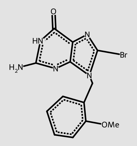 COc1ccccc1Cn1c(Br)nc2c(=O)[nH]c(N)nc21